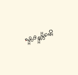 O=C(NC12CC(C1)C2)O[C@@H]1CO[C@H](c2cc(NC(=O)N3CC[C@H](Nc4ccccc4)C3)n[nH]2)C1